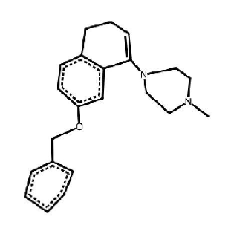 CN1CCN(C2=CCCc3ccc(OCc4ccccc4)cc32)CC1